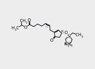 CC[Si](CC)(CC)O[C@H]1C=C(C/C=C\CCCC(=O)OC(C)C)C(=O)C1